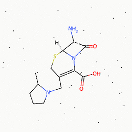 CC1CCCN1CC1=C(C(=O)O)N2C(=O)C(N)[C@@H]2SC1